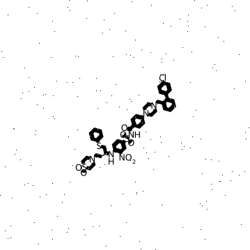 O=C(NS(=O)(=O)c1ccc(N[C@H](CCN2CCS(=O)(=O)CC2)CSc2ccccc2)c([N+](=O)[O-])c1)c1ccc(N2CCN(Cc3ccccc3-c3ccc(Cl)cc3)CC2)cc1